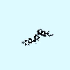 CC(C)NC(=O)c1ccc2c(N3CCC(C(=O)N4CCN(C(=N)C(F)(F)F)C(=N)C4)[C@H](C)C3)ccnc2c1